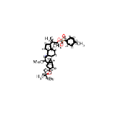 COC(/C=C1\CCC[C@@]2(C)C1CCC2[C@H](C)COS(=O)(=O)c1ccc(C)cc1)C12CC1C[C@H](O[Si](C)(C)C(C)(C)C)C2